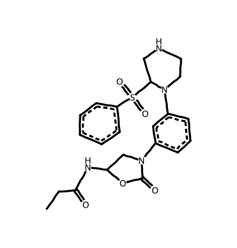 CCC(=O)NC1CN(c2cccc(N3CCNCC3S(=O)(=O)c3ccccc3)c2)C(=O)O1